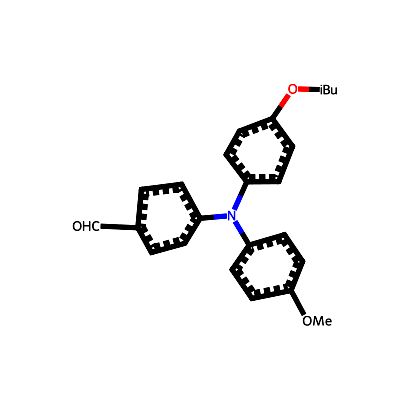 CCC(C)Oc1ccc(N(c2ccc(C=O)cc2)c2ccc(OC)cc2)cc1